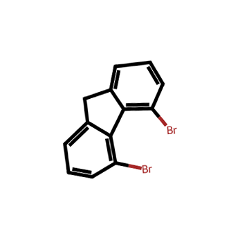 Brc1cccc2c1-c1c(Br)cccc1C2